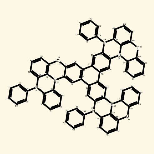 c1ccc(N2c3ccccc3B3c4cc5c(cc4Oc4cccc2c43)c2cc3c(cc2c2cc4c(cc52)N(c2ccccc2)c2cccc5c2B4c2ccccc2O5)B2c4ccccc4Oc4cccc(c42)N3c2ccccc2)cc1